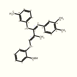 COc1ccccc1O/C=C(C)/C(=N\c1ccc(C)c(C)c1)Oc1cccc(C)c1